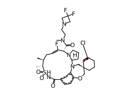 C[C@@H]1[C@@H](C)C/C=C(\F)[C@H](C(=O)N(C)CCN2CC(F)(F)C2)N2CCC[C@H]2N2C[C@@]3(CCCc4cc(Cl)ccc43)COc3ccc(cc32)C(=O)NS1(=O)=O